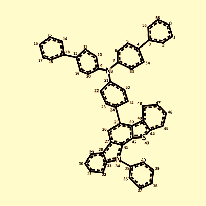 c1ccc(-c2ccc(N(c3ccc(-c4ccccc4)cc3)c3ccc(-c4cc5c6ccccc6n(-c6ccccc6)c5c5sc6ccccc6c45)cc3)cc2)cc1